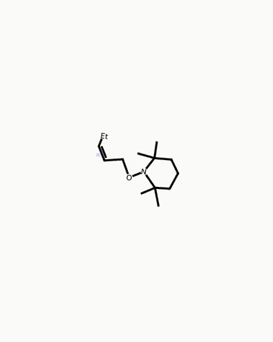 CC/C=C\CON1C(C)(C)CCCC1(C)C